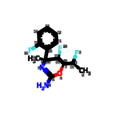 C[C@H](F)[C@H]1OC(N)=N[C@](C)(c2ccccc2F)[C@H]1F